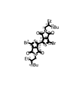 CCCCC(CC)CN1C(=O)c2c(Br)sc(-c3sc(Br)c4c3C(=O)N(CC(CC)CCCC)C4=O)c2C1=O